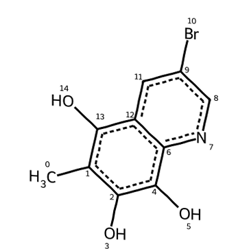 Cc1c(O)c(O)c2ncc(Br)cc2c1O